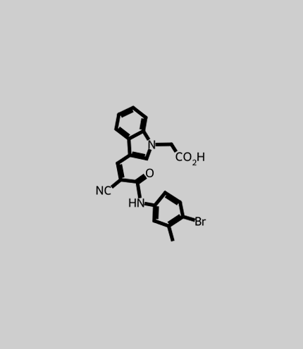 Cc1cc(NC(=O)C(C#N)=Cc2cn(CC(=O)O)c3ccccc23)ccc1Br